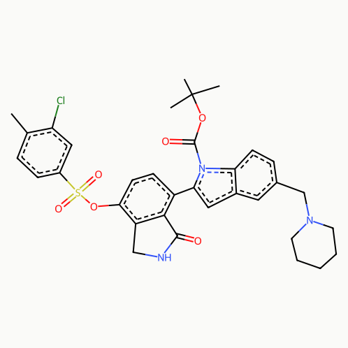 Cc1ccc(S(=O)(=O)Oc2ccc(-c3cc4cc(CN5CCCCC5)ccc4n3C(=O)OC(C)(C)C)c3c2CNC3=O)cc1Cl